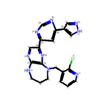 Clc1ncccc1CN1CCCNc2ncc(-c3cc(-c4cn[nH]c4)ncn3)nc21